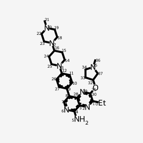 CCc1nc2c(N)ncc(-c3ccc(N4CCC(N5CCN(C)CC5)CC4)cc3)c2nc1OC1CCN(C)C1